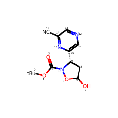 CC(C)(C)OC(=O)N1OC(O)C[C@H]1c1cncc(C#N)n1